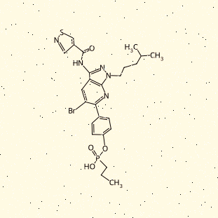 CCCP(=O)(O)Oc1ccc(-c2nc3c(cc2Br)c(NC(=O)c2cnsc2)nn3CCCC(C)C)cc1